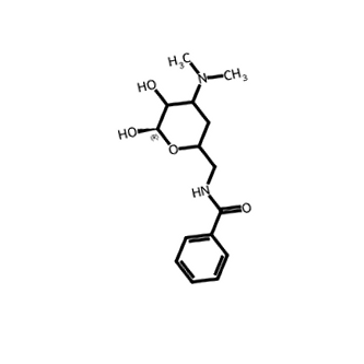 CN(C)C1CC(CNC(=O)c2ccccc2)O[C@@H](O)C1O